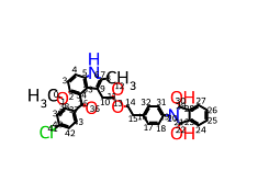 COc1ccc2[nH]c(C)c(CC(=O)OCCc3ccc(N4C(O)c5ccccc5C4O)cc3)c2c1C(=O)c1ccc(Cl)cc1